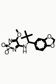 COC1=NS(=O)(=O)N=C1N[C@@H](c1ccc2c(c1)OCO2)C(C)(C)C